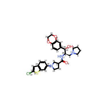 O=C(N[C@H](CN1CCCC1)[C@H](O)c1ccc2c(c1)OCCO2)C1CCN(c2ccc3cc(Cl)sc3c2)C1